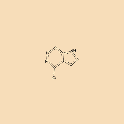 Clc1nncc2[nH]ccc12